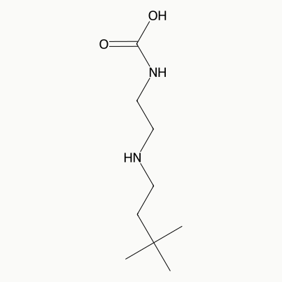 CC(C)(C)CCNCCNC(=O)O